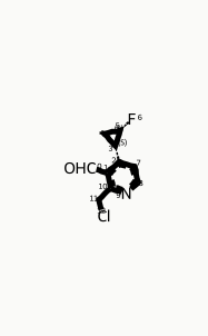 O=Cc1c([C@@H]2C[C@@H]2F)ccnc1CCl